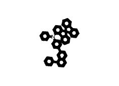 c1ccc(-c2cccc3ccc(-c4ccc(N(c5ccccc5)c5cccc6c5-c5ccccc5C65c6ccccc6-c6ccccc65)cc4)cc23)cc1